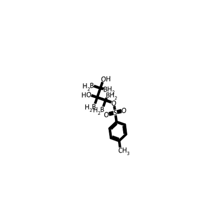 BC(B)(O)C(B)(O)C(B)(B)OS(=O)(=O)c1ccc(C)cc1